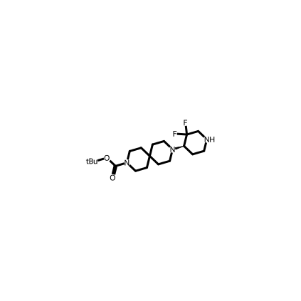 CC(C)(C)OC(=O)N1CCC2(CC1)CCN([C@@H]1CCNCC1(F)F)CC2